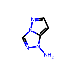 Nn1ncn2nccc12